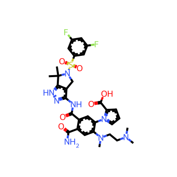 CN(C)CCN(C)c1cc(C(N)=O)c(C(=O)Nc2n[nH]c3c2CN(S(=O)(=O)c2cc(F)cc(F)c2)C3(C)C)cc1-n1cccc1C(=O)O